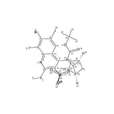 CSc1nc2c(F)c(Br)c(I)cc2c(N(C(=O)OC(C)(C)C)[C@H]2[C@@H]3C[C@H]2N(C(=O)O)C3)c1[N+](=O)[O-]